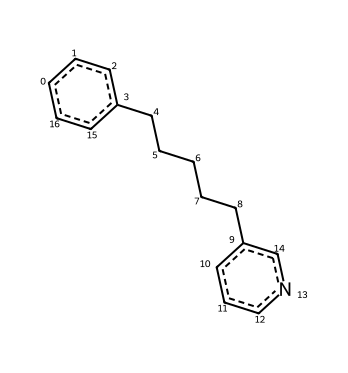 c1ccc(CCCCCc2cccnc2)cc1